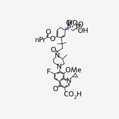 CCCC(=O)OC1=CC/C(=[P+](\[O-])CP(=O)(O)O)C=C1C(C)(C)CC(=O)N1CCN(c2c(F)cc3c(=O)c(C(=O)O)cn(C4CC4)c3c2OC)CC1C